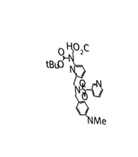 CNc1ccc(CN(Cc2cccc(N(CC(=O)O)C(=O)OC(C)(C)C)n2)S(=O)(=O)c2cccnc2)cc1